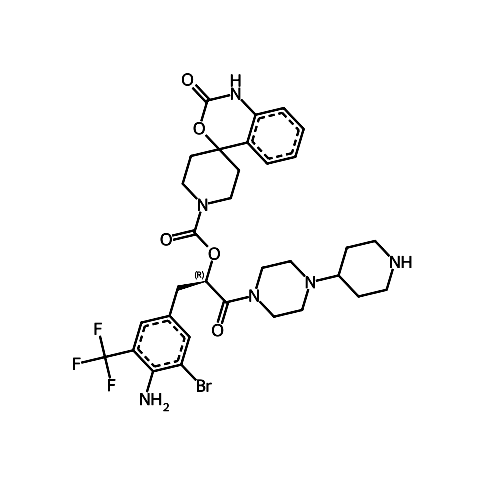 Nc1c(Br)cc(C[C@@H](OC(=O)N2CCC3(CC2)OC(=O)Nc2ccccc23)C(=O)N2CCN(C3CCNCC3)CC2)cc1C(F)(F)F